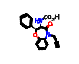 C#CCN1C(=O)[C@@H](NC(=O)O)[C@@H](c2ccccc2)Oc2ccccc21